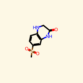 CS(=O)(=O)c1ccc2c(c1)NC(=O)CN2